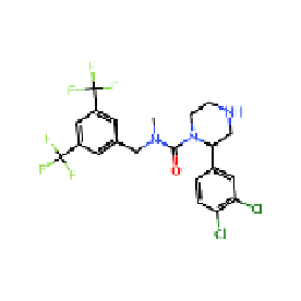 CN(Cc1cc(C(F)(F)F)cc(C(F)(F)F)c1)C(=O)N1CCNCC1c1ccc(Cl)c(Cl)c1